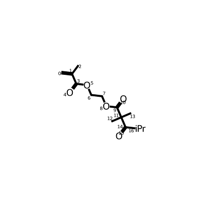 C=C(C)C(=O)OCCOC(=O)C(C)(C)C(=O)C(C)C